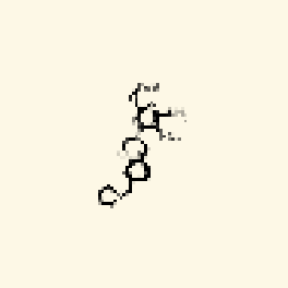 CCCC(C)Oc1nc(N)c([N+](=O)[O-])c(N(CC(=O)OCC)Cc2ccc(CN3CCCC3)cc2)n1